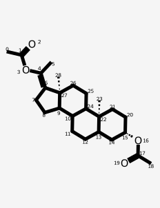 CC(=O)O/C(C)=C1\CCC2C3CCC4C[C@@H](OC(C)=O)CC[C@]4(C)C3CC[C@]12C